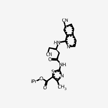 Cc1nc(NC(=O)C[C@@H](CC#N)Nc2nccc3ccc(C#N)cc23)sc1C(=O)OC(C)C